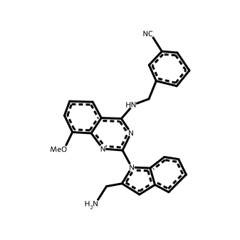 COc1cccc2c(NCc3cccc(C#N)c3)nc(-n3c(CN)cc4ccccc43)nc12